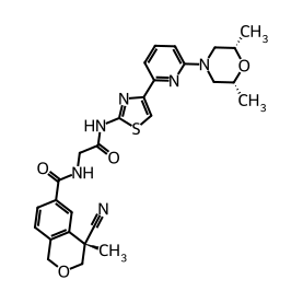 C[C@@H]1CN(c2cccc(-c3csc(NC(=O)CNC(=O)c4ccc5c(c4)[C@](C)(C#N)COC5)n3)n2)C[C@H](C)O1